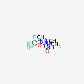 C[C@@H](NC(=O)c1cc(=O)[nH]c(N(C)C)n1)c1ccc(S(F)(F)(F)(F)F)cc1F